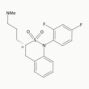 CNCCC[C@H]1Cc2ccccc2N(c2ccc(F)cc2F)S1(=O)=O